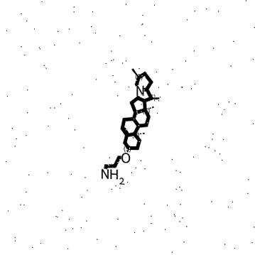 C[C@H]1CCC2[C@@H](C)C3C(CC4C5CC=C6C[C@@H](OCCCN)CC[C@]6(C)C5CC[C@@]43C)N2C1